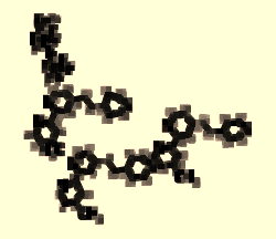 Cc1ccnc(-c2cc(CCc3ccncc3)ccn2)c1.Cc1ccnc(-c2cc(CCc3ccncc3)ccn2)c1.Cc1ccnc(-c2cc(CCc3ccncc3)ccn2)c1.F[P-](F)(F)(F)(F)F.F[P-](F)(F)(F)(F)F.[Fe+3]